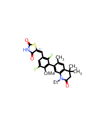 CCN1C(=O)CC(C)(C)c2cc(C)c(-c3c(F)c(/C=C4/SC(=O)NC4=O)cc(F)c3OC)cc21